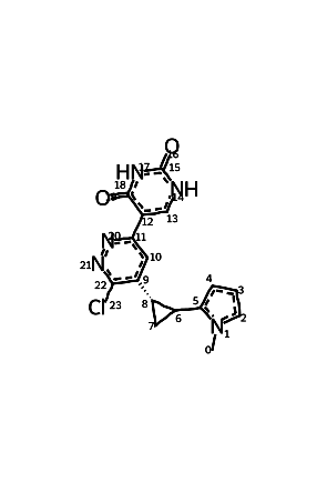 Cn1cccc1C1C[C@@H]1c1cc(-c2c[nH]c(=O)[nH]c2=O)nnc1Cl